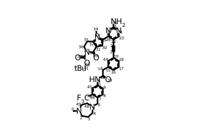 CN1CCCN(Cc2ccc(NC(=O)Cc3cccc(C#Cc4cnc(N)nc4-c4cc5c(n4C)CCN(C(=O)OC(C)(C)C)C5=O)c3)cc2C(F)(F)F)CC1